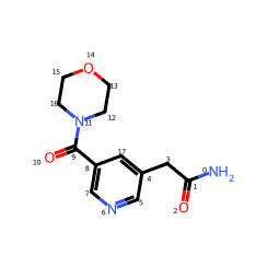 NC(=O)Cc1cncc(C(=O)N2CCOCC2)c1